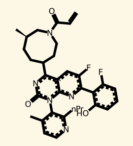 C=CC(=O)N1CCC(c2nc(=O)n(-c3c(C)ccnc3CCC)c3nc(-c4c(O)cccc4F)c(F)cc23)CC[C@@H](C)C1